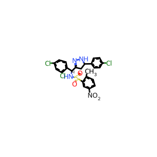 Cc1ccc([N+](=O)[O-])cc1S(=O)(=O)N[C@H](C1=NNC(c2ccc(Cl)cc2)C1)c1ccc(Cl)cc1Cl